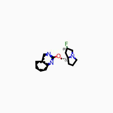 F[C@H]1CN2CCC[C@@]2(COc2ncc3ccccc3n2)C1